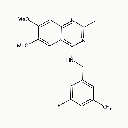 COc1cc2nc(C)nc(NCc3cc(F)cc(C(F)(F)F)c3)c2cc1OC